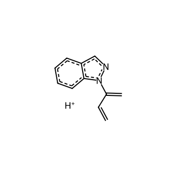 C=CC(=C)n1ncc2ccccc21.[H+]